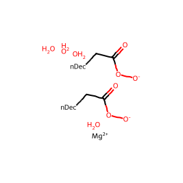 CCCCCCCCCCCC(=O)O[O-].CCCCCCCCCCCC(=O)O[O-].O.O.O.O.[Mg+2]